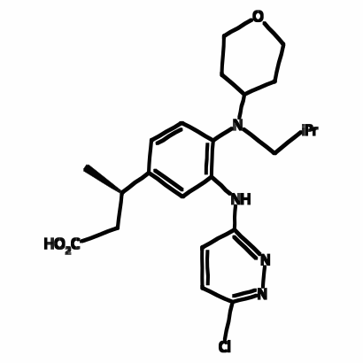 CC(C)CN(c1ccc([C@H](C)CC(=O)O)cc1Nc1ccc(Cl)nn1)C1CCOCC1